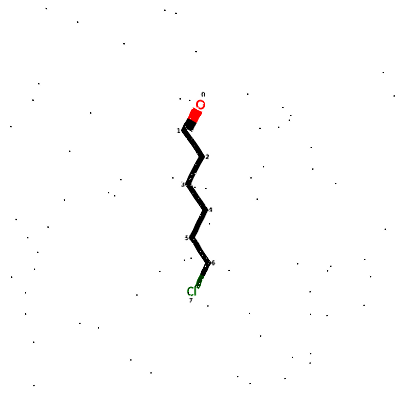 O=CCCCCCCl